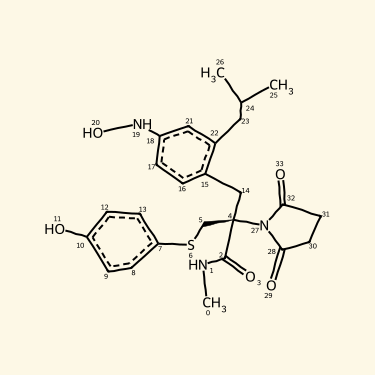 CNC(=O)[C@](CSc1ccc(O)cc1)(Cc1ccc(NO)cc1CC(C)C)N1C(=O)CCC1=O